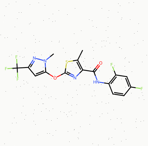 Cc1sc(Oc2cc(C(F)(F)F)nn2C)nc1C(=O)Nc1ccc(F)cc1F